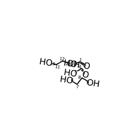 O=CO.O=CO.OCCO.OCCO